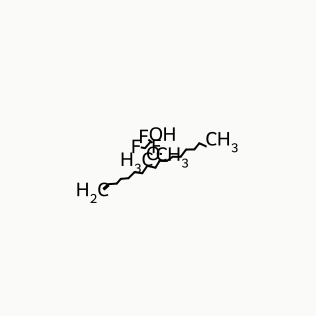 C=CCCCCCCCCCCCCCCCC.COC.OC(F)(F)CF